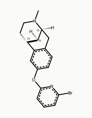 CN1CC[C@@]23CCCC[C@@H]2[C@@H]1Cc1ccc(Oc2cccc(Br)n2)cc13